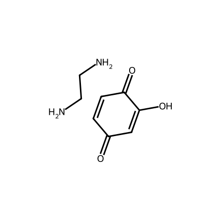 NCCN.O=C1C=CC(=O)C(O)=C1